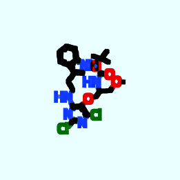 COCC(COc1c(Cl)nc(Cl)nc1NCCc1c[nH]c2ccccc12)NC(=O)OC(C)(C)C